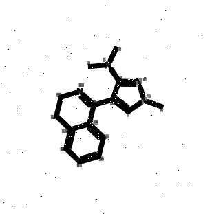 CN(C)c1nn(C)cc1C1=NCCc2ccccc21